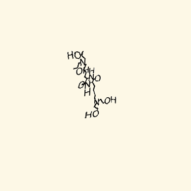 CC(O)CN(CCCCC1NC(=O)C(CCCCN(CCO)CCO)NC1=O)CC(C)O